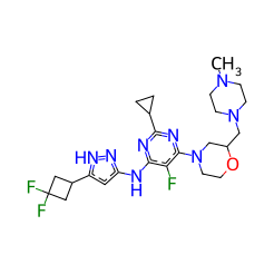 CN1CCN(CC2CN(c3nc(C4CC4)nc(Nc4cc(C5CC(F)(F)C5)[nH]n4)c3F)CCO2)CC1